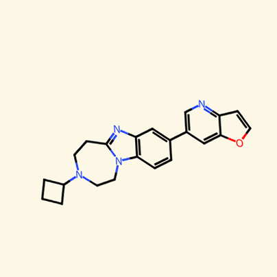 c1cc2ncc(-c3ccc4c(c3)nc3n4CCN(C4CCC4)CC3)cc2o1